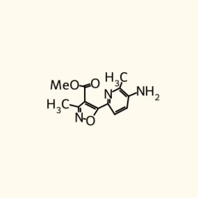 COC(=O)c1c(C)noc1-c1ccc(N)c(C)n1